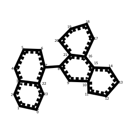 [c]1ccc2cccc(-c3cc4ccccc4c4ccccc34)c2c1